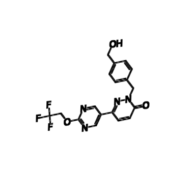 O=c1ccc(-c2cnc(OCC(F)(F)F)nc2)nn1Cc1ccc(CO)cc1